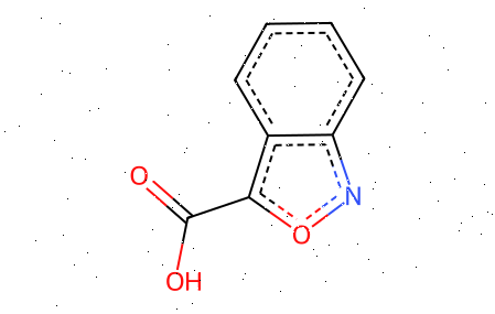 O=C(O)c1onc2ccccc12